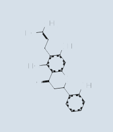 CC(C)=CCc1c(O)cc2c(c1O)C(=O)CC(c1ccccc1O)O2